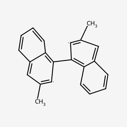 Cc1[c]c(-c2[c]c(C)cc3ccccc23)c2ccccc2c1